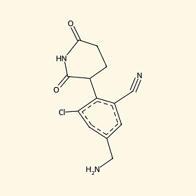 N#Cc1cc(CN)cc(Cl)c1C1CCC(=O)NC1=O